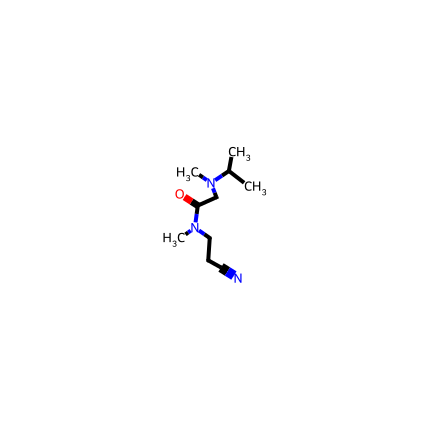 CC(C)N(C)CC(=O)N(C)CCC#N